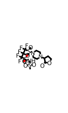 CS(=O)(=O)NS(=O)(=O)C(F)(F)C(F)(F)C(F)(F)S(=O)(=O)N1CCN(C2CCOC2=O)CC1